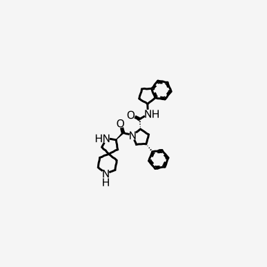 O=C(NC1CCc2ccccc21)[C@@H]1C[C@H](c2ccccc2)CN1C(=O)[C@H]1CC2(CCNCC2)CN1